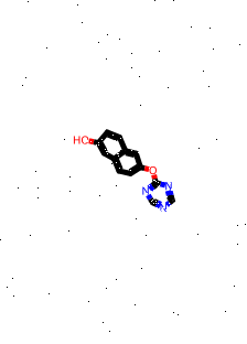 Oc1ccc2cc(Oc3ncncn3)ccc2c1